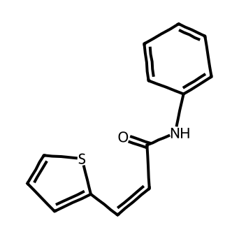 O=C(/C=C\c1cccs1)Nc1ccccc1